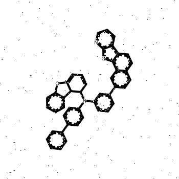 C1=CC(N(c2ccc(-c3ccccc3)cc2)c2cccc(-c3ccc4ccc5c6cccnc6oc5c4c3)c2)C2C(=C1)Oc1ccccc12